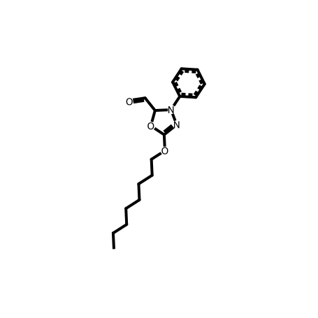 CCCCCCCCOC1=NN(c2ccccc2)C(C=O)O1